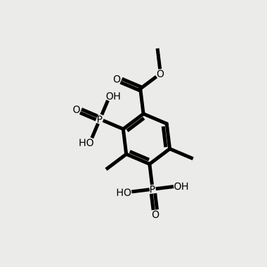 COC(=O)c1cc(C)c(P(=O)(O)O)c(C)c1P(=O)(O)O